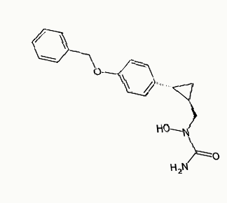 NC(=O)N(O)C[C@@H]1C[C@H]1c1ccc(OCc2ccccc2)cc1